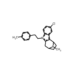 Cc1ccc(CCn2c3c(c4cc(Cl)ccc42)C2CCC(C3)N2C)cc1